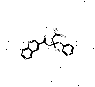 C=C(C)CC(C)(Cc1ccccc1)NC(=O)c1cnc2ccccc2c1